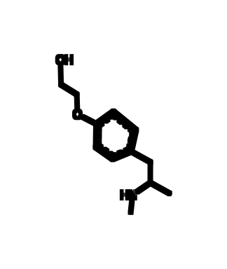 CNC(C)Cc1ccc(OCCO)cc1